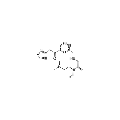 C=C(CNCc1cc(C(=O)Nc2ncco2)ccn1)N(CC)CCN(C)C